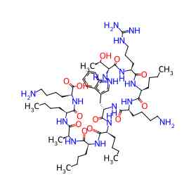 CCCC[C@H](NC(=O)[C@H](C)NC(=O)[C@H](CCCC)NC(=O)[C@H](CCCC)NC(=O)[C@H](Cc1c[nH]c2ccccc12)NC(=O)[C@H](CCCCN)NC(=O)[C@H](CCCC)NC(=O)[C@H](CCCNC(=N)N)NC(=O)[C@@H](N)[C@@H](C)O)C(=O)N[C@@H](CCCCN)C(=O)O